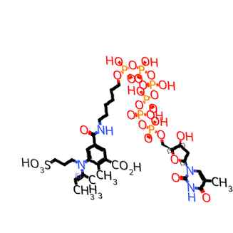 C/C=C(\C)N(CCCS(=O)(=O)O)c1cc(C(=O)NCCCCCCOP(=O)(O)OP(=O)(O)OP(=O)(O)OP(=O)(O)OP(=O)(O)OP(=O)(O)OC[C@@H]2O[C@H](n3cc(C)c(=O)[nH]c3=O)C[C@@H]2O)cc(C(=O)O)c1C